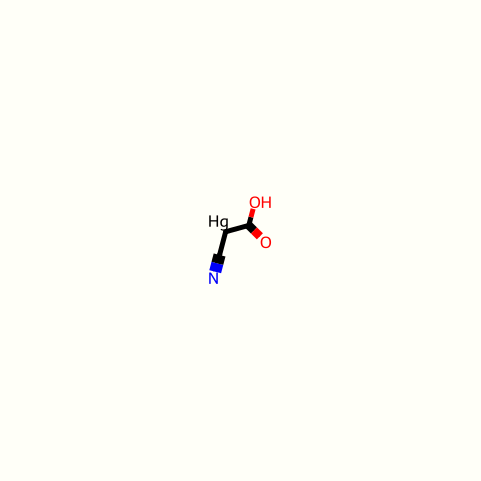 N#CCC(=O)O.[Hg]